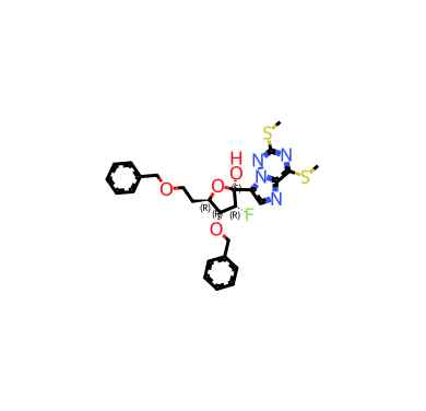 CSc1nc(SC)c2ncc([C@]3(O)O[C@H](CCOCc4ccccc4)[C@@H](OCc4ccccc4)[C@H]3F)n2n1